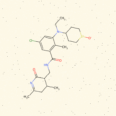 CCN(c1cc(Cl)cc(C(=O)NCC2C(=O)N=C(C)CC2C)c1C)C1CC[S+]([O-])CC1